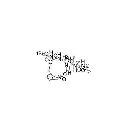 C=C[C@@H]1C[C@]1(NC(=O)[C@@H]1C[C@@H]2CN1C(=O)[C@H](C(C)(C)C)NC(=O)[C@H](NC(=O)OC(C)(C)C)OC/C=C/c1cccc3c1CN(C3)C(=O)O2)C(=O)NS(=O)(=O)C1CC1